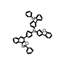 c1ccc(-c2nc3c(o2)c(-c2ccc(N(c4ccc5c(c4)oc4ccccc45)c4ccc5c(c4)c4ccccc4n5-c4ccccc4)cc2)cc2ccccc23)cc1